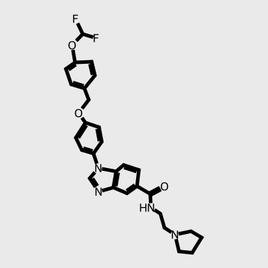 O=C(NCCN1CCCC1)c1ccc2c(c1)ncn2-c1ccc(OCc2ccc(OC(F)F)cc2)cc1